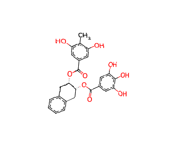 Cc1c(O)cc(C(=O)O[C@H]2Cc3ccccc3C[C@H]2OC(=O)c2cc(O)c(O)c(O)c2)cc1O